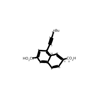 CCCCC#Cc1cc(C(=O)O)cc2ccc(C(=O)O)cc12